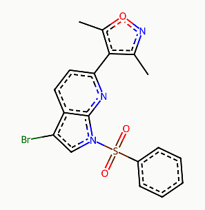 Cc1noc(C)c1-c1ccc2c(Br)cn(S(=O)(=O)c3ccccc3)c2n1